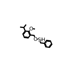 COc1c(CO[SiH2]Cc2ccccc2)cccc1C(C)C